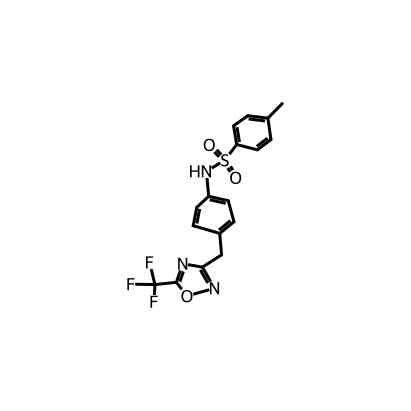 Cc1ccc(S(=O)(=O)Nc2ccc(Cc3noc(C(F)(F)F)n3)cc2)cc1